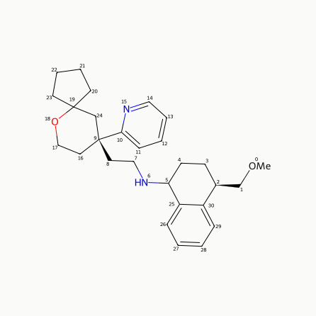 COC[C@@H]1CCC(NCC[C@@]2(c3ccccn3)CCOC3(CCCC3)C2)c2ccccc21